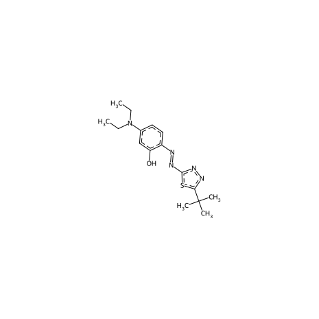 CCN(CC)c1ccc(N=Nc2nnc(C(C)(C)C)s2)c(O)c1